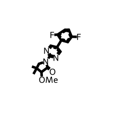 COC1C(=O)N(c2ncc(-c3cc(F)ccc3F)cn2)CC1(C)C